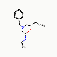 C=CN[C@H]1CN(Cc2ccccc2)C[C@@H](COC)O1